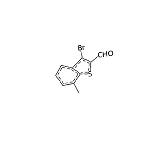 Cc1cccc2c(Br)c(C=O)sc12